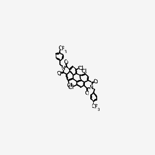 O=C1c2cc(Cl)c3c4c(Cl)cc5c6c(cc(Cl)c(c7c(Cl)cc(c2c37)C(=O)N1Cc1ccc(C(F)(F)F)cc1)c64)C(=O)N(Cc1ccc(C(F)(F)F)cc1)C5=O